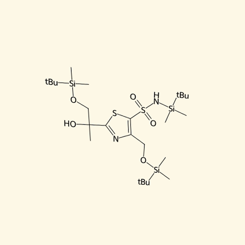 CC(O)(CO[Si](C)(C)C(C)(C)C)c1nc(CO[Si](C)(C)C(C)(C)C)c(S(=O)(=O)N[Si](C)(C)C(C)(C)C)s1